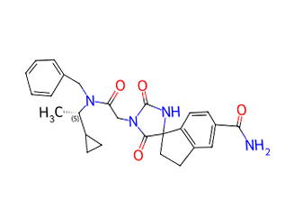 C[C@@H](C1CC1)N(Cc1ccccc1)C(=O)CN1C(=O)NC2(CCc3cc(C(N)=O)ccc32)C1=O